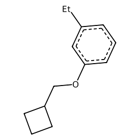 CCc1cccc(OCC2CCC2)c1